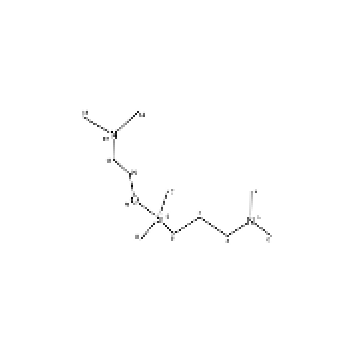 CN(C)CCC[Si](C)(C)OCCN(C)C